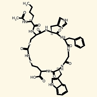 CCCC[C@H](NC(C)=O)C(=O)NC1CCC(=O)NCCCC(C(=O)O)NC(=O)[C@H](Cc2c[nH]c3ccccc23)NC(=O)CNC(=O)C(Cc2ccccc2)NC(=O)[C@H](Cc2c[nH]cn2)NC1=O